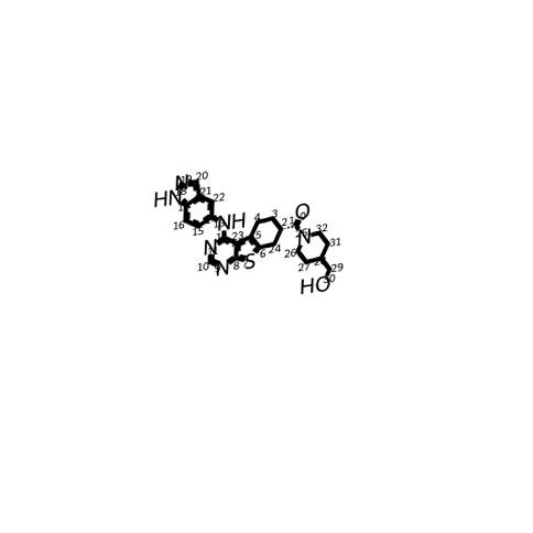 O=C([C@H]1CCc2c(sc3ncnc(Nc4ccc5[nH]ncc5c4)c23)C1)N1CCC(CO)CC1